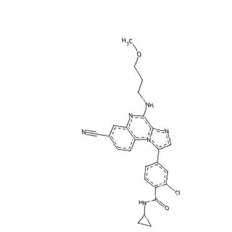 COCCCNc1nc2cc(C#N)ccc2n2c(-c3ccc(C(=O)NC4CC4)c(Cl)c3)cnc12